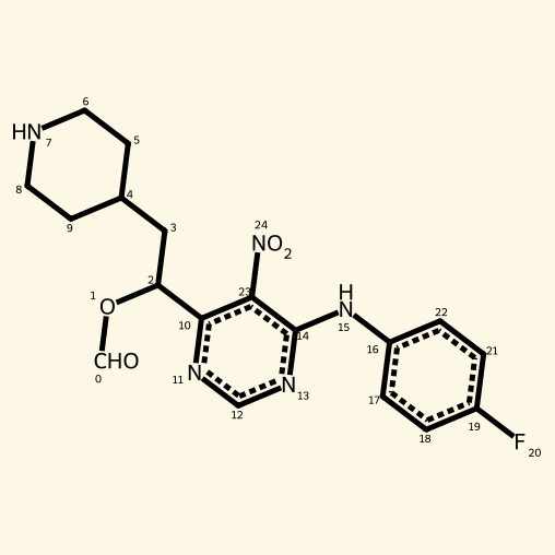 O=COC(CC1CCNCC1)c1ncnc(Nc2ccc(F)cc2)c1[N+](=O)[O-]